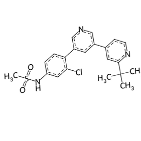 CC(C)(C)c1cc(-c2cncc(-c3ccc(NS(C)(=O)=O)cc3Cl)c2)ccn1